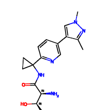 Cc1nn(C)cc1-c1ccc(C2(NC(=O)[C@@H](N)[C@@H](C)O)CC2)nc1